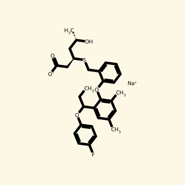 CCC(Oc1ccc(F)cc1)c1cc(C)cc(C)c1Oc1ccccc1CS[C@@H](CC(=O)[O-])C[C@H](C)O.[Na+]